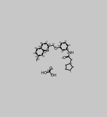 O=C(CC1CCCC1)Nc1cccc(OCc2ccc3ccc(F)cc3n2)c1.O=C(O)O